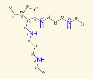 CCNCCCNCC1C(NCCCNCC)CC[C@H]1CC